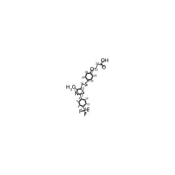 Cc1nc(-c2ccc(C(F)(F)F)cc2)sc1CSc1ccc(OCCC(=O)O)cc1